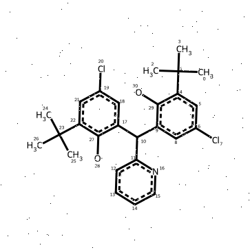 CC(C)(C)c1cc(Cl)cc(C(c2ccccn2)c2cc(Cl)cc(C(C)(C)C)c2[O])c1[O]